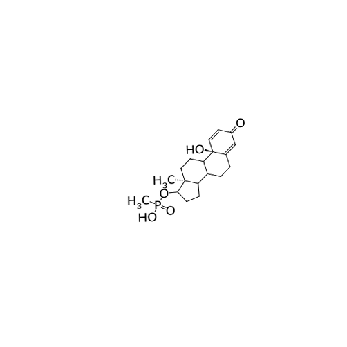 C[C@]12CCC3C(CCC4=CC(=O)C=C[C@]43O)C1CCC2OP(C)(=O)O